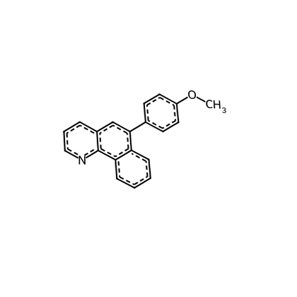 COc1ccc(-c2cc3cccnc3c3ccccc23)cc1